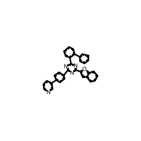 c1ccc(-c2ccccc2-c2nc(-c3ccc(-c4cccnc4)cc3)nc(-c3cc4ccccc4o3)n2)cc1